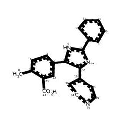 Cc1ccc(-c2[nH]c(-c3ccccc3)nc2-c2ccncc2)cc1C(=O)O